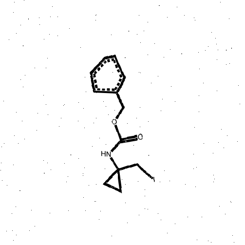 O=C(NC1(CI)CC1)OCc1ccccc1